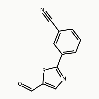 N#Cc1cccc(-c2ncc(C=O)s2)c1